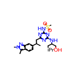 Cc1c2ccc(C(C)Cc3nc(NC(CO)CC(C)C)nc(NS(C)(=O)=O)n3)cc2nn1C